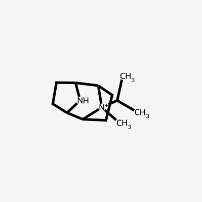 CC(C)[N+]1(C)C2CCC1C1CCC2N1